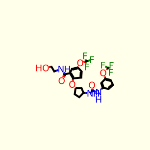 O=C(Nc1cccc(OC(F)(F)F)c1)NC1CCC(Oc2ccc(OC(F)(F)F)cc2C(=O)NCCO)C1